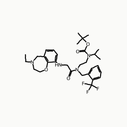 CCN1CCOc2c(cccc2NCC(=O)N(CCN(C(=O)OC(C)(C)C)C(C)C)Cc2ccccc2C(F)(F)F)C1